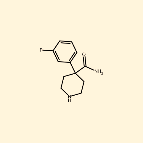 NC(=O)C1(c2cccc(F)c2)CCNCC1